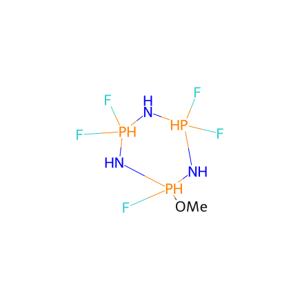 CO[PH]1(F)N[PH](F)(F)N[PH](F)(F)N1